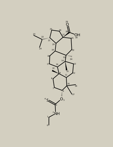 CCNC(=S)O[C@@H]1CC[C@@]2(C)C(CC[C@]3(C)C2CCC2C4[C@H](C(C)C)CC[C@]4(C(=O)O)CC[C@]23C)C1(C)C